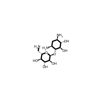 NC[C@@H]1O[C@@H](O[C@H]2[C@H](O)[C@@H](O)[C@H](N)C[C@@H]2N)[C@@H](O)[C@H](O)[C@H]1O